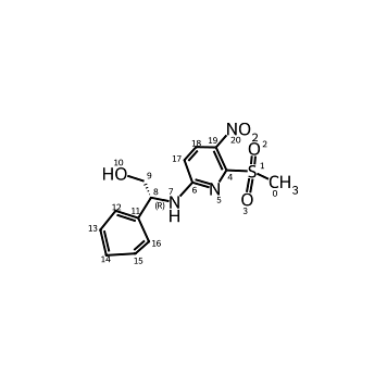 CS(=O)(=O)c1nc(N[C@@H](CO)c2ccccc2)ccc1[N+](=O)[O-]